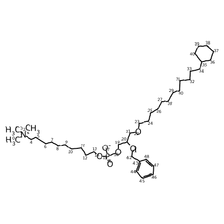 C[N+](C)(C)CCCCCCCCCCOP(=O)([O-])OCC(COCCCCCCCCCCCCC1CCCCC1)OCc1ccccc1